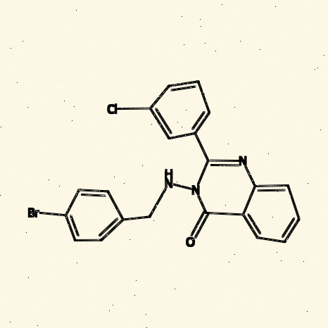 O=c1c2ccccc2nc(-c2cccc(Cl)c2)n1NCc1ccc(Br)cc1